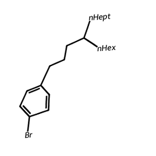 CCCCCCCC(CCCCCC)CCCc1ccc(Br)cc1